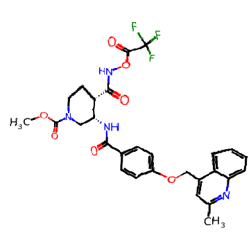 COC(=O)N1CC[C@H](C(=O)NOC(=O)C(F)(F)F)[C@H](NC(=O)c2ccc(OCc3cc(C)nc4ccccc34)cc2)C1